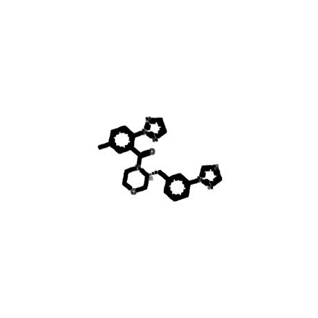 Cc1ccc(-n2nccn2)c(C(=O)N2CCOC[C@H]2Cc2cccc(-n3cncn3)c2)c1